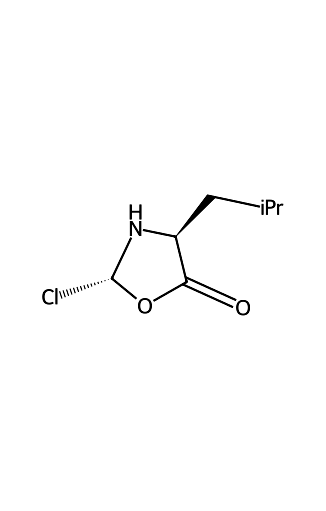 CC(C)C[C@@H]1N[C@@H](Cl)OC1=O